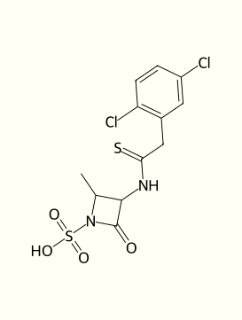 CC1C(NC(=S)Cc2cc(Cl)ccc2Cl)C(=O)N1S(=O)(=O)O